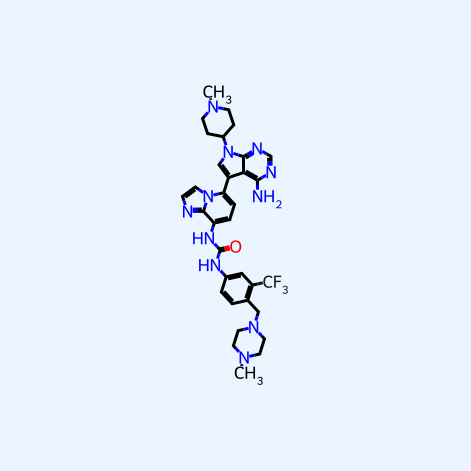 CN1CCC(n2cc(-c3ccc(NC(=O)Nc4ccc(CN5CCN(C)CC5)c(C(F)(F)F)c4)c4nccn34)c3c(N)ncnc32)CC1